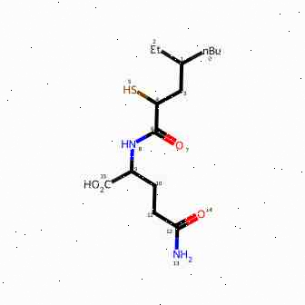 CCCCC(CC)CC(S)C(=O)NC(CCC(N)=O)C(=O)O